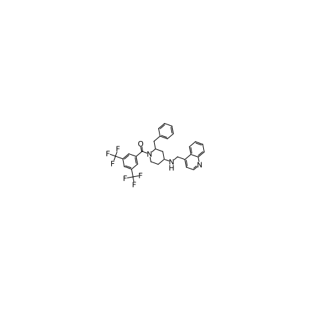 O=C(c1cc(C(F)(F)F)cc(C(F)(F)F)c1)N1CCC(NCc2ccnc3ccccc23)CC1Cc1ccccc1